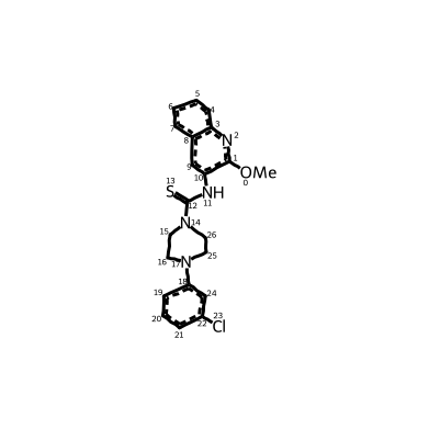 COc1nc2ccccc2cc1NC(=S)N1CCN(c2cccc(Cl)c2)CC1